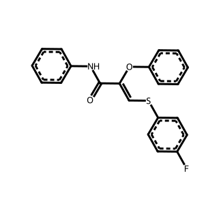 O=C(Nc1ccccc1)C(=CSc1ccc(F)cc1)Oc1ccccc1